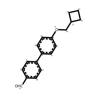 O=Cc1ccc(-c2ccc(OCC3CCC3)cc2)cc1